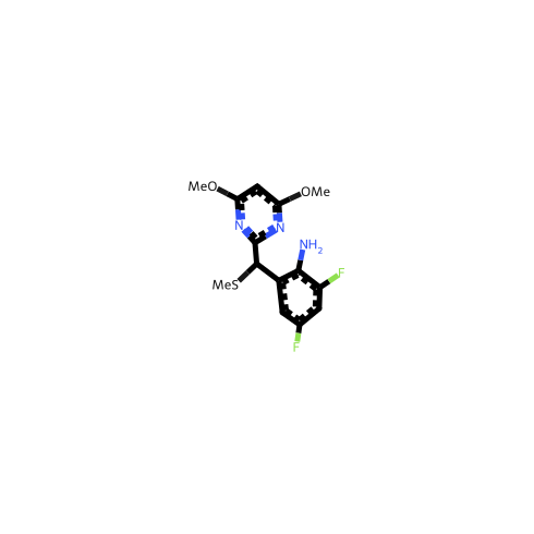 COc1cc(OC)nc(C(SC)c2cc(F)cc(F)c2N)n1